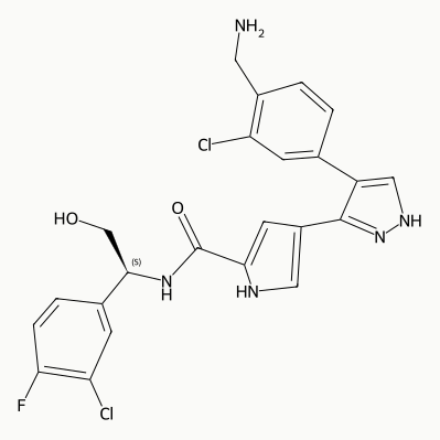 NCc1ccc(-c2c[nH]nc2-c2c[nH]c(C(=O)N[C@H](CO)c3ccc(F)c(Cl)c3)c2)cc1Cl